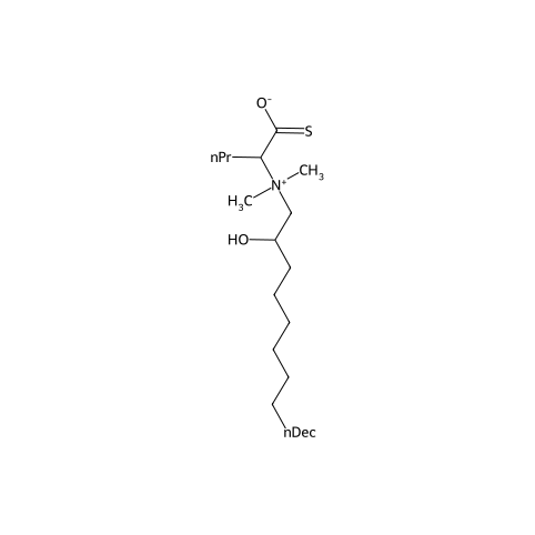 CCCCCCCCCCCCCCCCC(O)C[N+](C)(C)C(CCC)C([O-])=S